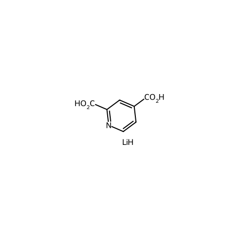 O=C(O)c1ccnc(C(=O)O)c1.[LiH]